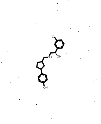 Oc1ccc(C2CCC(CNC[C@H](O)c3cccc(Cl)c3)C2)cc1